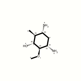 CO[C@H]1[C@H](O)[C@@H](C)[C@H](N)C[C@@H]1N